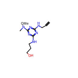 C#CCNc1nc(NCCCO)nc(N(C)OC)n1